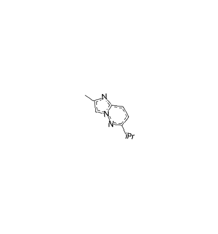 Cc1cn2nc(C(C)C)ccc2n1